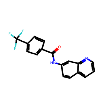 O=C(Nc1ccc2cccnc2c1)c1ccc(C(F)(F)F)cc1